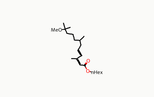 CCCCCCOC(=O)C=C(C)C=CCC(C)CCCC(C)(C)OC